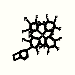 Fc1c(F)c(F)c([B-](c2c(F)c(F)c(F)c(F)c2F)(c2c(F)c(F)c(F)c(F)c2F)c2c(F)c(F)c(-c3ccc4c(c3)CC4)c(F)c2F)c(F)c1F